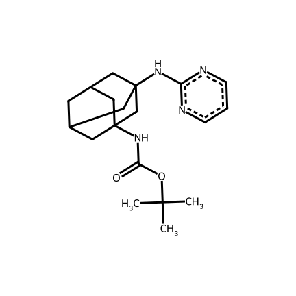 CC(C)(C)OC(=O)NC12CC3CC(C1)CC(Nc1ncccn1)(C3)C2